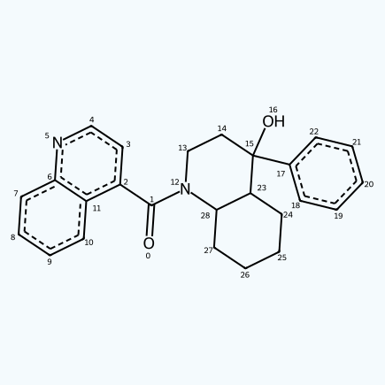 O=C(c1ccnc2ccccc12)N1CCC(O)(c2ccccc2)C2CCCCC21